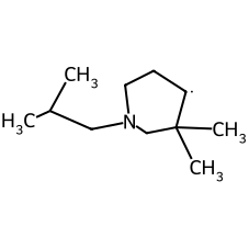 CC(C)CN1CC[CH]C(C)(C)C1